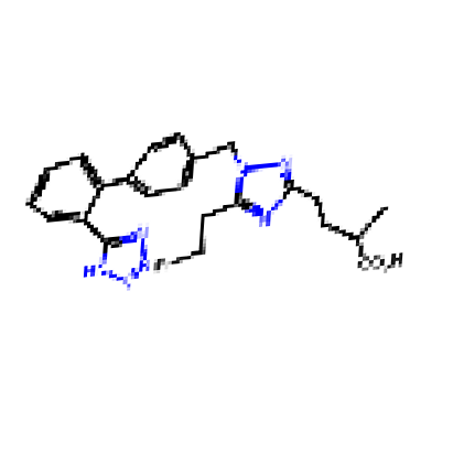 CC(C)CCc1nc(CCC(C)C(=O)O)nn1Cc1ccc(-c2ccccc2-c2nnn[nH]2)cc1